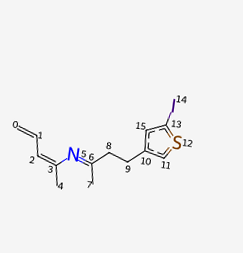 C=C/C=C(C)\N=C(/C)CCc1csc(I)c1